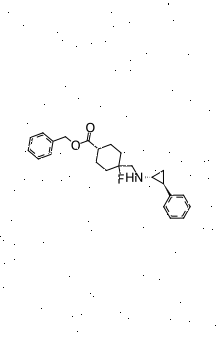 O=C(OCc1ccccc1)C1CCC(F)(CN[C@@H]2C[C@H]2c2ccccc2)CC1